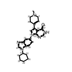 CN1CC=C(c2cn(-c3ccc4c(c3)ncn4C3CCCCC3)c3nc[nH]c(=O)c23)CC1